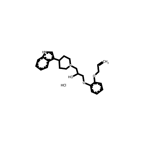 C=CCOc1ccccc1OCC(O)CN1CCC(c2c[nH]c3ccccc23)CC1.Cl